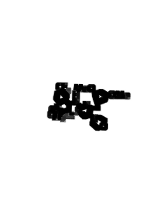 CCOC(=O)ON1c2ccc(C(F)(F)F)cc2[C@@H](Nc2ncc(N3CCOCC3)c(Cc3cc(OC)cc(OC)c3)n2)C[C@H]1CC